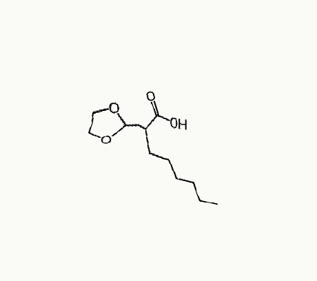 CCCCCCC(C(=O)O)C1OCCO1